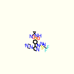 CN1CCN(c2ccnc3c2c2ccc(S(=O)(=O)NC4(C#N)CC4)cc2n3-c2nnc(C(F)F)s2)CC1